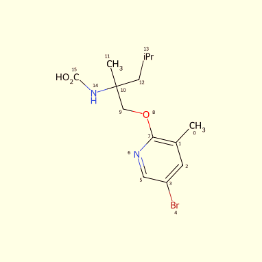 Cc1cc(Br)cnc1OCC(C)(CC(C)C)NC(=O)O